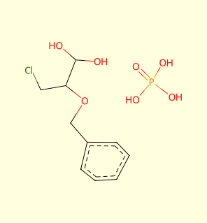 O=P(O)(O)O.OC(O)C(CCl)OCc1ccccc1